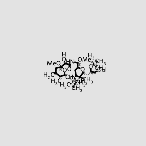 C=C1C[C@](OC)([C@H](O)C(=O)N[C@@H](OC)C2CC(O[Si](C)(C)C)C(C)(C)[C@@H](C[C@@H](CO)O[Si](C)(C)C)O2)O[C@H](C)[C@@H]1C